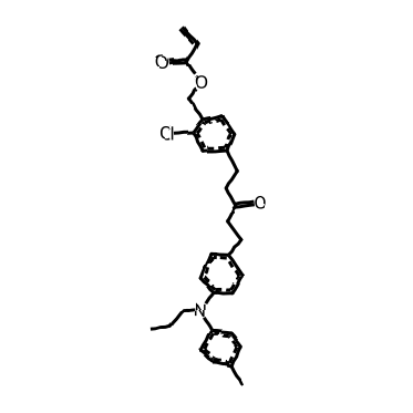 C=CC(=O)OCc1ccc(CCC(=O)CCc2ccc(N(CCC)c3ccc(C)cc3)cc2)cc1Cl